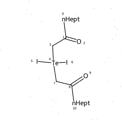 CCCCCCCC(=O)C[Te](I)(I)CC(=O)CCCCCCC